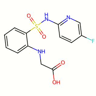 O=C(O)CNc1ccccc1S(=O)(=O)Nc1ccc(F)cn1